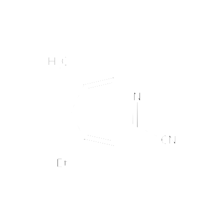 CCC1=CC(C#N)=NC=C(C)C1